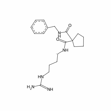 N=C(N)NCCC[CH]NC(=O)C1(C(=O)NCc2ccccc2)CCCC1